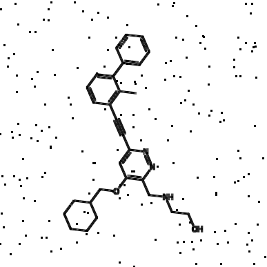 Cc1c(C#Cc2cc(OCC3CCCCC3)c(CNCCO)nn2)cccc1-c1ccccc1